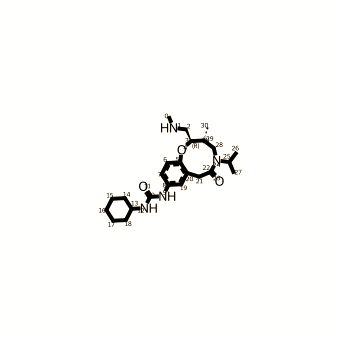 CNC[C@@H]1Oc2ccc(NC(=O)NC3CCCCC3)cc2CC(=O)N(C(C)C)C[C@H]1C